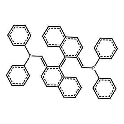 C(=c1ccc2ccccc2c1=c1c(=CP(c2ccccc2)c2ccccc2)ccc2ccccc12)P(c1ccccc1)c1ccccc1